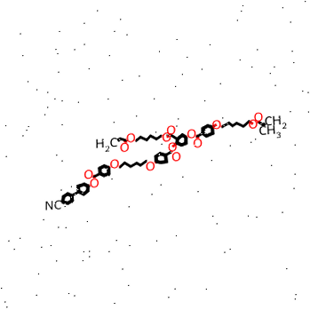 C=CC(=O)OCCCCCCOC(=O)c1cc(OC(=O)c2ccc(OCCCCCCOC(=O)C(=C)C)cc2)ccc1OC(=O)c1ccc(OCCCCCCOc2ccc(C(=O)Oc3ccc(-c4ccc(C#N)cc4)cc3)cc2)cc1